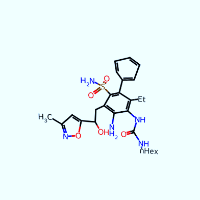 CCCCCCNC(=O)Nc1c(N)c(CC(O)c2cc(C)no2)c(S(N)(=O)=O)c(-c2ccccc2)c1CC